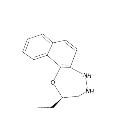 CC[C@@H]1CNNc2ccc3ccccc3c2O1